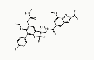 CCOc1c(CC(=O)NC)cc([C@@](O)(CNC(=O)c2cc(OC)c3nn(C(F)F)cc3c2)C(F)(F)F)nc1-c1ccc(F)cc1